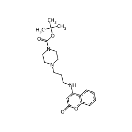 CC(C)(C)OC(=O)N1CCN(CCCNc2cc(=O)oc3ccccc23)CC1